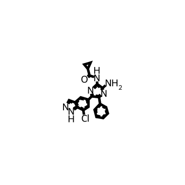 Nc1nc(-c2ccccc2)c(-c2cc(Cl)c3[nH]ncc3c2)nc1NC(=O)C1CC1